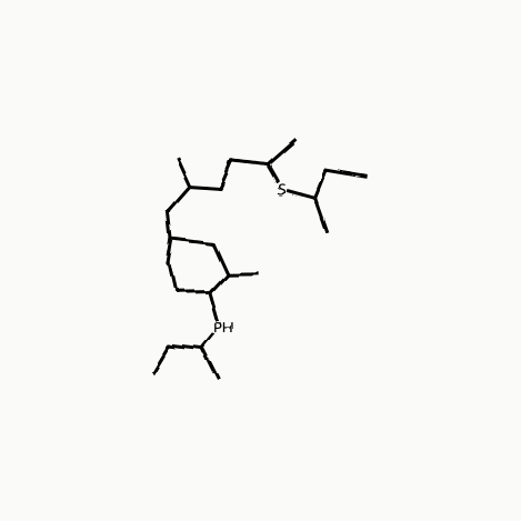 CCC(C)PC1CCC(CC(C)CCC(C)SC(C)CC)CC1C